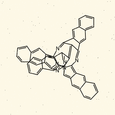 c1ccc2cc3c(cc2c1)-c1nc2c4cc5ccccc5cc4c4nc5c6c(nc7c8cc9ccccc9cc8c(nc-3c16)n7n24)-c1cc2ccccc2cc1-5